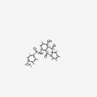 Cc1ccc(C(=O)Nc2ccc(O)c3c2C(=O)c2ccccc2C3=O)cc1